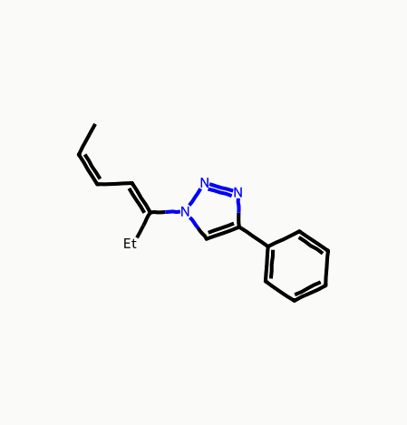 C/C=C\C=C(/CC)n1cc(-c2ccccc2)nn1